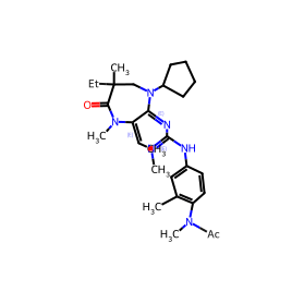 C\C=C1/C(=N\C(=N\C)Nc2ccc(N(C)C(C)=O)c(C)c2)N(C2CCCC2)CC(C)(CC)C(=O)N1C